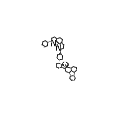 c1ccc(-c2ccc3ccc4ccc(-c5ccc(-c6cccc7c6oc6c8cccc9c8c(cc76)-c6ccccc6-9)cc5)nc4c3n2)cc1